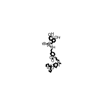 CN(CCCn1c(=O)oc2cc(CCNC[C@H](O[Si](C)(C)C(C)(C)C)c3ccc(O)c4[nH]c(=O)ccc34)ccc21)[C@H]1CC[C@H](OC(C(=O)O)(c2cccs2)c2cccs2)CC1